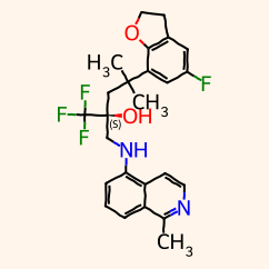 Cc1nccc2c(NC[C@@](O)(CC(C)(C)c3cc(F)cc4c3OCC4)C(F)(F)F)cccc12